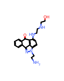 NCCn1nc2c3c(c(NCCNCCO)ccc31)C(=O)c1ccccc1-2